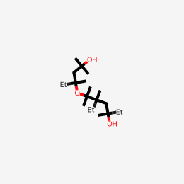 CCC(C)(O)CC(C)(CC)C(C)(C)OC(C)(CC)CC(C)(C)O